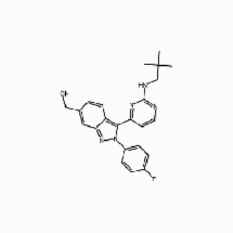 CC(C)(C)CNc1nccc(-c2c3ccc(CO)cc3nn2-c2ccc(F)cc2)n1